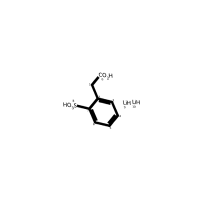 O=C(O)Cc1ccccc1S(=O)(=O)O.[LiH].[LiH]